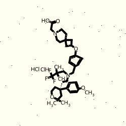 COc1ccc([C@]2(CCN(Cc3ccc(OC4CC5(CCN(CC(=O)O)CC5)C4)cc3)CC(C)(C)C(F)(F)F)CCOC(C)(C)C2)cc1.Cl.Cl